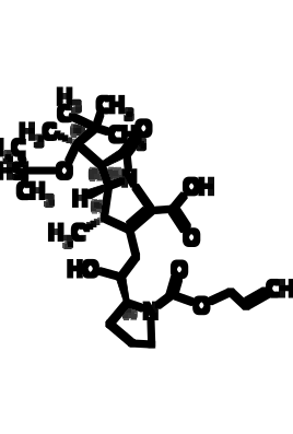 C=CCOC(=O)N1CCC[C@H]1C(O)CC1=C(C(=O)O)N2C(=O)[C@H]([C@@](C)(O[SiH](C)C)C(C)(C)C)[C@H]2[C@H]1C